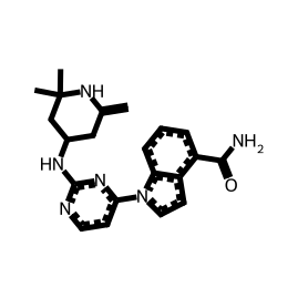 C=C1CC(Nc2nccc(-n3ccc4c(C(N)=O)cccc43)n2)CC(C)(C)N1